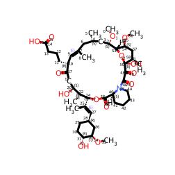 CO[C@H]1C[C@@H](C)C/C(C)=C/[C@@H](CCCC(=O)O)C(=O)C[C@H](O)[C@@H](C)[C@@H](/C(C)=C/[C@@H]2CC[C@@H](O)[C@H](OC)C2)OC(=O)[C@@H]2CCCCN2C(=O)C(=O)[C@]2(O)O[C@H]1[C@@H](OC)C[C@H]2C